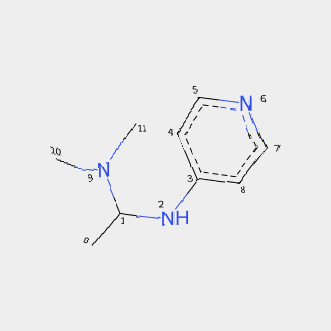 CC(Nc1ccncc1)N(C)C